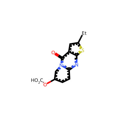 CCc1cc2c(=O)n3cc(OC(=O)O)ccc3nc2s1